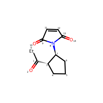 CCC(=O)[C@H]1CCC[C@@H]1N1C(=O)C=CC1=O